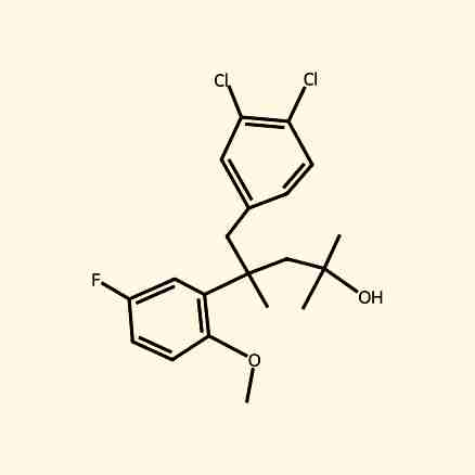 COc1ccc(F)cc1C(C)(Cc1ccc(Cl)c(Cl)c1)CC(C)(C)O